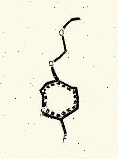 COCOc1ccc(F)nc1